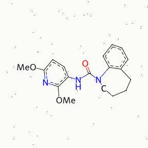 COc1ccc(NC(=O)N2CCCCc3ccccc32)c(OC)n1